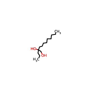 CCCCCCCCCC(O)(CO)CCC